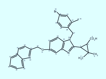 CC1(C)C(C(=O)O)C1c1nc2cc(OCc3ccc4ccccc4n3)ccc2n1Cc1ccc(Br)cc1F